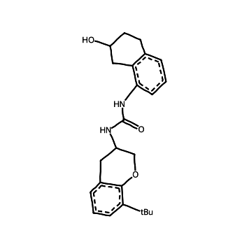 CC(C)(C)c1cccc2c1OCC(NC(=O)Nc1cccc3c1CC(O)CC3)C2